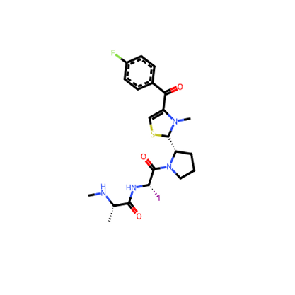 CN[C@@H](C)C(=O)N[C@@H](I)C(=O)N1CCC[C@H]1C1SC=C(C(=O)c2ccc(F)cc2)N1C